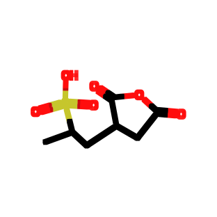 CC(CC1CC(=O)OC1=O)S(=O)(=O)O